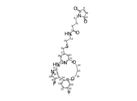 O=C(CCCN1C(=O)C=CC1=O)NCCSCc1cc2nc(c1)OCCCOc1cc(F)ccc1-c1cc(ncc1F)N2